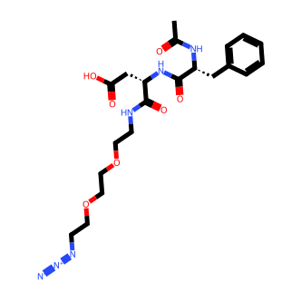 CC(=O)N[C@H](Cc1ccccc1)C(=O)N[C@@H](CC(=O)O)C(=O)NCCOCCOCCN=[N+]=[N-]